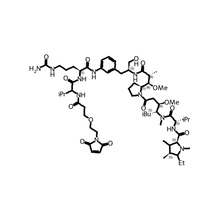 CCC1[C@@H](C)C(C)[C@@H](C(=O)N[C@H](C(=O)N(C)C([C@@H](C)CC)[C@@H](CC(=O)N2CCC[C@H]2[C@H](OC)[C@@H](C)C(=O)N[C@H](CO)Cc2cccc(NC(=O)[C@H](CCCNC(N)=O)NC(=O)C(NC(=O)CCOCCN3C(=O)C=CC3=O)C(C)C)c2)OC)C(C)C)N1C